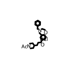 CC(=O)N1CCC(CCC(=O)c2ccc3c(c2)CN(Cc2ccccc2)CCO3)CC1.Cl